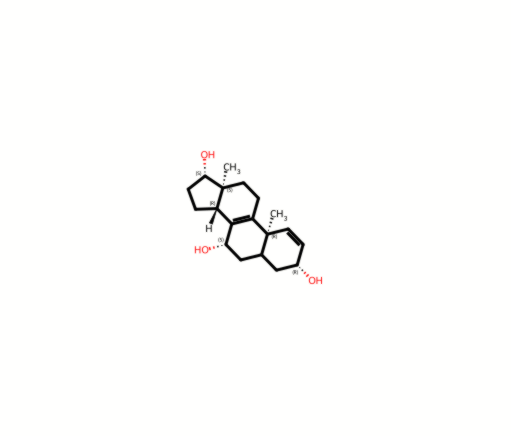 C[C@]12CCC3=C([C@@H](O)CC4C[C@@H](O)C=C[C@]34C)[C@@H]1CC[C@@H]2O